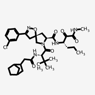 CCC[C@H](NC(=O)[C@@H]1C[C@]2(CC(c3cccc(Cl)c3)=NO2)CN1C(=O)[C@@H](NC(=O)CC1CC2CCC1C2)C(C)(C)C)C(=O)C(=O)NC